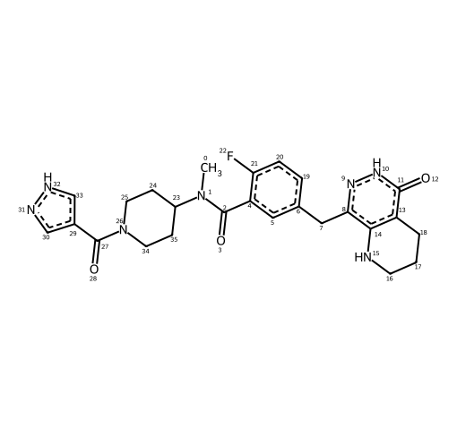 CN(C(=O)c1cc(Cc2n[nH]c(=O)c3c2NCCC3)ccc1F)C1CCN(C(=O)c2cn[nH]c2)CC1